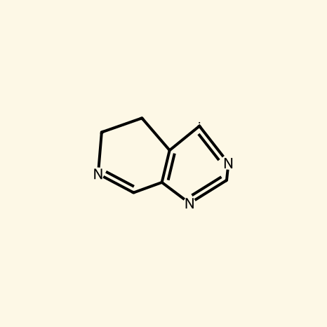 [c]1ncnc2c1CCN=C2